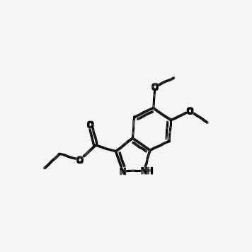 CCOC(=O)c1n[nH]c2cc(OC)c(OC)cc12